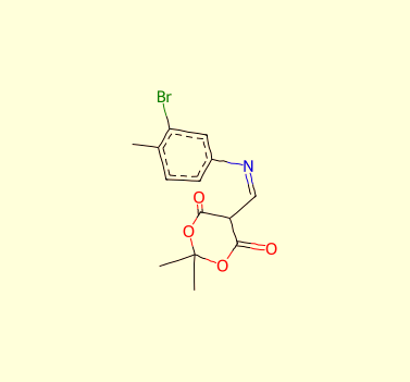 Cc1ccc(/N=C\C2C(=O)OC(C)(C)OC2=O)cc1Br